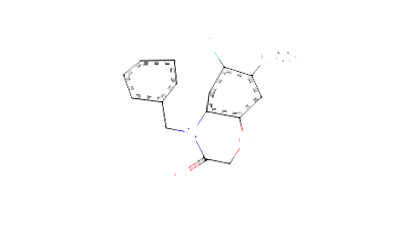 COc1cc2c(cc1F)N(Cc1ccccc1)C(=O)CO2